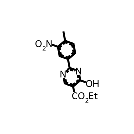 CCOC(=O)c1cnc(-c2ccc(C)c([N+](=O)[O-])c2)nc1O